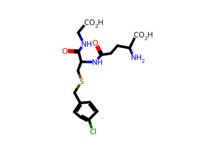 NC(CCC(=O)NC(CSCc1ccc(Cl)cc1)C(=O)NCC(=O)O)C(=O)O